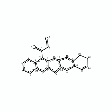 O=CC(=O)c1c2ccccc2cc2cc3cc4c(cc3cc12)CCC=C4